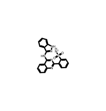 NS(=O)(=O)c1ccccc1-c1nc(Nc2n[nH]c3ccccc23)c2ccccc2n1